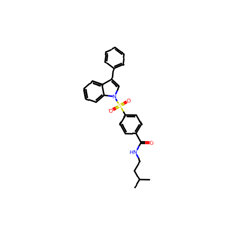 CC(C)CCNC(=O)c1ccc(S(=O)(=O)n2cc(-c3ccccc3)c3ccccc32)cc1